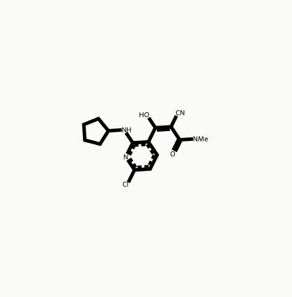 CNC(=O)C(C#N)=C(O)c1ccc(Cl)nc1NC1CCCC1